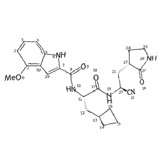 COc1cccc2[nH]c(C(=O)N[C@@H](CC3CCC3)C(=O)N[C@H](C#N)C[C@@H]3CCNC3=O)cc12